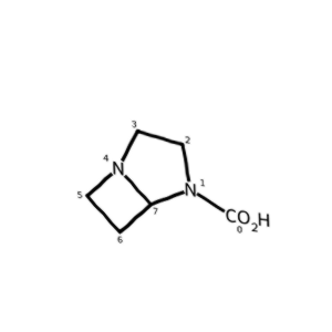 O=C(O)N1CCN2CCC21